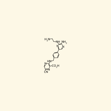 N#Cc1cnc(NCc2ccc(-c3cnc(N)c(NCCN)n3)cc2)c(C(=O)O)n1